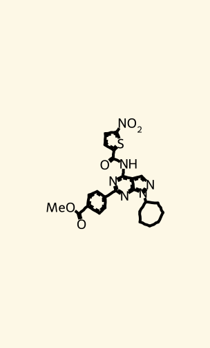 COC(=O)c1ccc(-c2nc(NC(=O)c3ccc([N+](=O)[O-])s3)c3cnn(C4CCCCCC4)c3n2)cc1